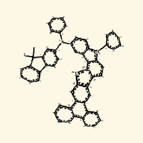 CC1(C)c2ccccc2-c2ccc(N(c3ccccc3)c3ccc4c(c3)c3c5sc6cc7c8ccccc8c8ccccc8c7cc6c5ccc3n4-c3ccccc3)cc21